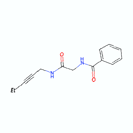 CCC#CCNC(=O)CNC(=O)c1ccccc1